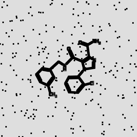 Cc1cccc(CNC(=O)c2c(C(N)=O)ncn2-c2ccccc2Cl)c1